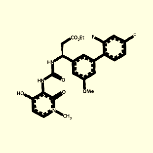 CCOC(=O)C[C@H](NC(=O)Nc1c(O)ccn(C)c1=O)c1cc(OC)cc(-c2ccc(F)cc2F)c1